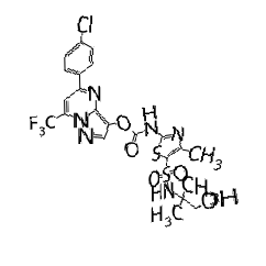 Cc1nc(NC(=O)Oc2cnn3c(C(F)(F)F)cc(-c4ccc(Cl)cc4)nc23)sc1S(=O)(=O)NC(C)(C)CO